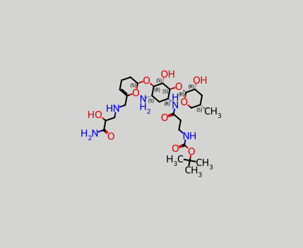 C[C@@H]1CO[C@H](O[C@@H]2[C@@H](O)[C@H](O[C@@H]3CCC=C(CNCC(O)C(N)=O)O3)[C@@H](N)C[C@H]2NC(=O)CCNC(=O)OC(C)(C)C)[C@H](O)C1